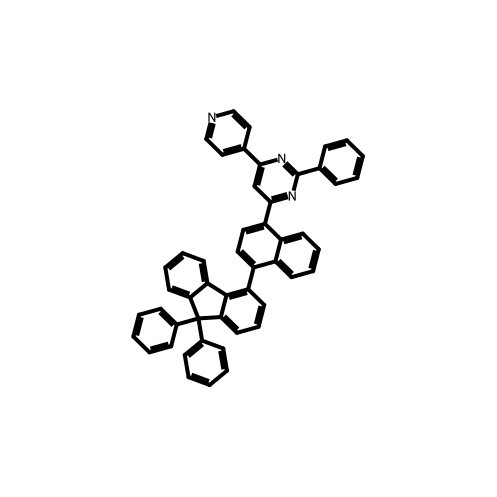 c1ccc(-c2nc(-c3ccncc3)cc(-c3ccc(-c4cccc5c4-c4ccccc4C5(c4ccccc4)c4ccccc4)c4ccccc34)n2)cc1